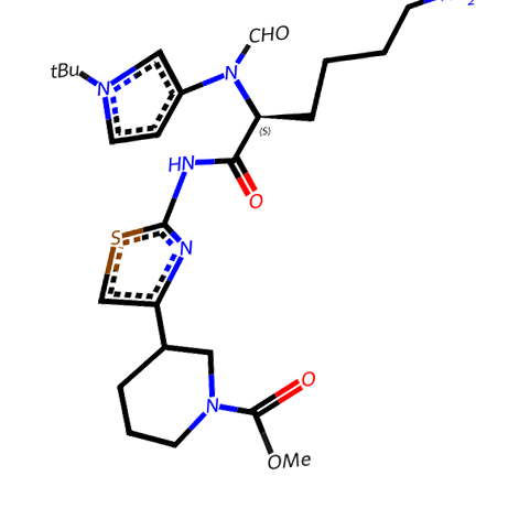 COC(=O)N1CCCC(c2csc(NC(=O)[C@H](CCCCN)N(C=O)c3ccn(C(C)(C)C)c3)n2)C1